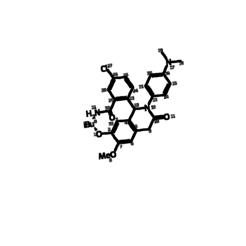 CC[C@@H](C)Oc1cc2c(cc1OC)CC(=O)N(c1ccc(N(C)C)cc1)C2c1ccc(Cl)cc1C(N)=O